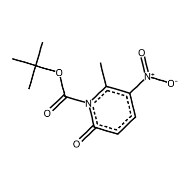 Cc1c([N+](=O)[O-])ccc(=O)n1C(=O)OC(C)(C)C